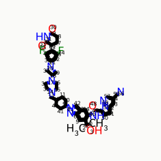 CC(C)(O)c1cc2nn(C3CCC(CN4CCN(C5CN(c6cc(F)c([C@H]7CCC(=O)NC7=O)c(F)c6)C5)CC4)CC3)cc2cc1NC(=O)c1ccc2cc(C#N)cnn12